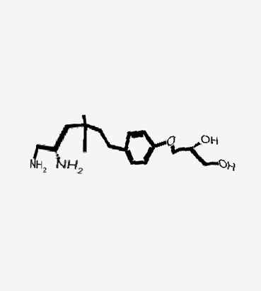 CC(C)(CCc1ccc(OC[C@@H](O)CO)cc1)C[C@H](N)CN